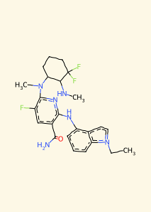 CCn1ccc2c(Nc3nc(N(C)C4CCCC(F)(F)C4NC)c(F)cc3C(N)=O)cccc21